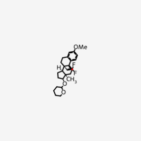 COc1ccc2c(c1)CC[C@]1(C=C(F)F)C2=CC[C@]2(C)[C@@H](OC3CCCCO3)CC[C@H]21